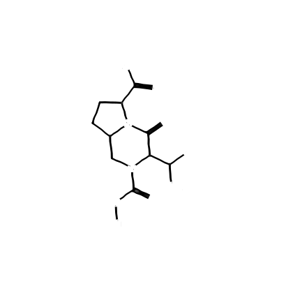 COC(=O)N1CC2CCC(C(C)=O)N2C(=O)C1C(C)C